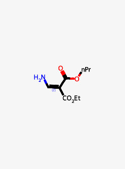 CCCOC(=O)/C(=C\N)C(=O)OCC